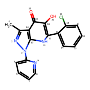 Cc1nn(-c2ccccn2)c2[nH]c(-c3ccccc3Cl)c(O)c(=O)c12